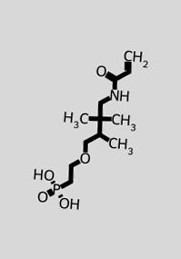 C=CC(=O)NCC(C)(C)C(C)COCCP(=O)(O)O